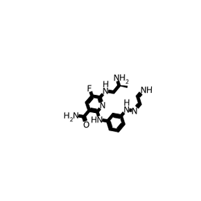 C[C@H](N)CNc1nc(Nc2cccc(N/N=C\C=N)c2)c(C(N)=O)cc1F